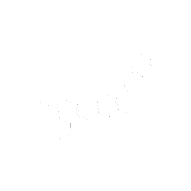 CC(C)c1cc(Oc2c(C(F)(F)F)cc([N+](=O)[O-])c3c2CCC3)ccc1OCc1ccccc1